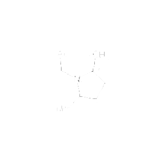 CCCC1CCC(C)N1CC(C)=O